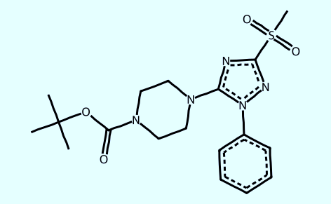 CC(C)(C)OC(=O)N1CCN(c2nc(S(C)(=O)=O)nn2-c2ccccc2)CC1